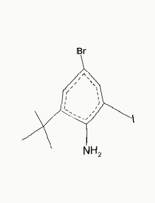 CC(C)(C)c1cc(Br)cc(I)c1N